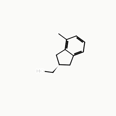 Cc1cccc2c1C[C@H](CO)C2